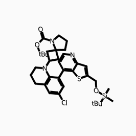 CC(C)(C)OC(=O)N1CCCC12CC(N1CCCc3cc(Cl)cc(-c4ccnc5cc(CO[Si](C)(C)C(C)(C)C)sc45)c31)C2